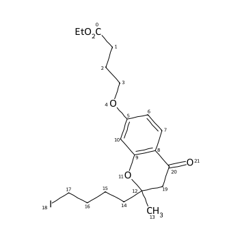 CCOC(=O)CCCOc1ccc2c(c1)OC(C)(CCCCI)CC2=O